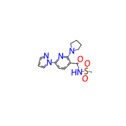 CS(=O)(=O)NC(=O)c1ccc(-n2cccn2)nc1N1CCCC1